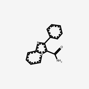 NC(=O)c1c(-c2ccccc2)nc2ccccn12